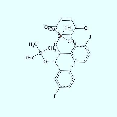 CC(C)(C)[Si](C)(C)OC1c2cc(I)ccc2-c2ccc(I)c(C3=CC(=O)C=CC3=O)c2C1O[Si](C)(C)C(C)(C)C